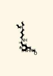 CCN(CC)CCCCNCc1cc(CN[C]=O)ccn1